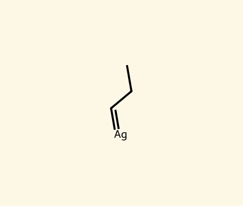 CC[CH]=[Ag]